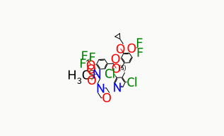 CS(=O)(=O)N(CCN1CCOCC1)c1cc(C(=O)O[C@@H](Cc2c(Cl)cncc2Cl)c2ccc(OC(F)F)c(OCC3CC3)c2)ccc1OC(F)(F)F